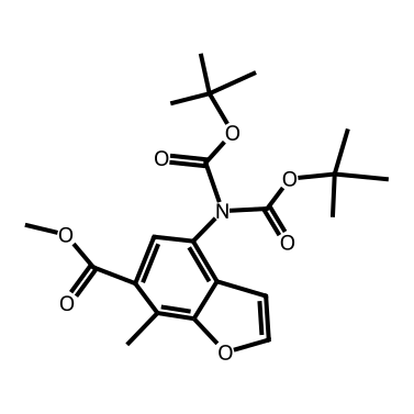 COC(=O)c1cc(N(C(=O)OC(C)(C)C)C(=O)OC(C)(C)C)c2ccoc2c1C